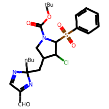 CCCCC1(CC2CN(C(=O)OC(C)(C)C)C(S(=O)(=O)c3ccccc3)C2Cl)N=CC(C=O)=N1